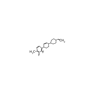 C=CC1CCC(C2C=CC(c3ccc(C)c(F)c3F)CC2)CC1